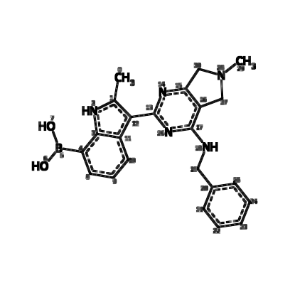 Cc1[nH]c2c(B(O)O)cccc2c1-c1nc2c(c(NCc3ccccc3)n1)CN(C)C2